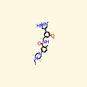 CN/C=C(\C=N)c1cc(OC)cc([C@@H](C)NC(=O)c2cc(N3C[C@@H](C)N(CI)[C@@H](C)C3)ccc2C)c1